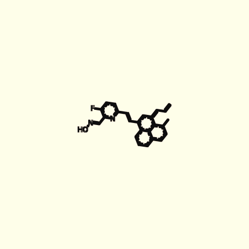 C=C/C=c1/cc(/C=C/c2ccc(F)c(/C=N/O)n2)c2cccc3ccc(C)c1c32